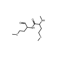 CNC(CCSC)C(=O)NC(C=O)CCSC